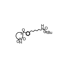 CC(C)(C)OC(=O)NCCCCCCc1cccc(C(=O)N2CCCCCC(=O)NC(=O)C2)c1